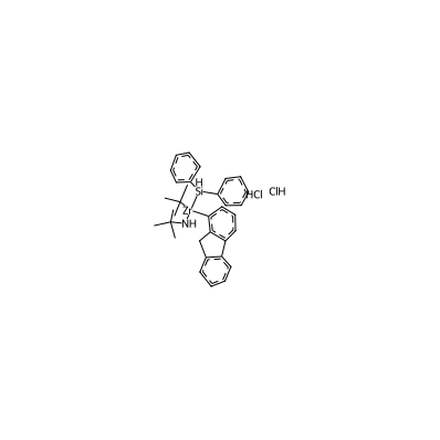 CC(C)(C)[NH][Zr]([c]1cccc2c1Cc1ccccc1-2)([SiH](c1ccccc1)c1ccccc1)[C](C)(C)C.Cl.Cl